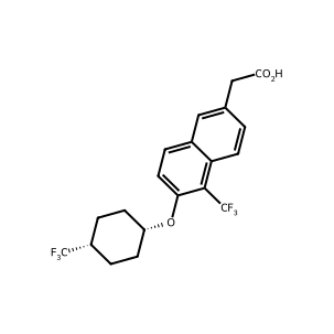 O=C(O)Cc1ccc2c(C(F)(F)F)c(O[C@H]3CC[C@@H](C(F)(F)F)CC3)ccc2c1